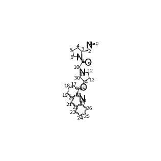 C=NC[C@@H]1CCCN1C(=O)CN1CC[C@H](Oc2cccc3cc4ccccc4nc23)C1